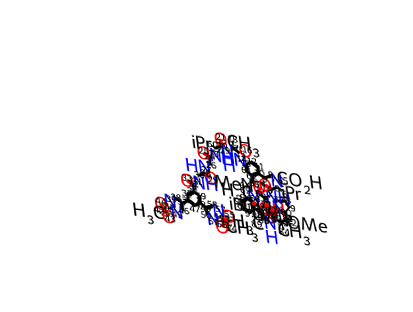 CCC(NC(=O)C(C(C)C)N(CCc1ccc(NC(=O)[C@H](C)NC(=O)[C@@H](NC(=O)CNC(=O)CNC(=O)c2cc(-c3cnc(S(C)(=O)=O)nc3)cc(-c3cnc(S(C)(=O)=O)nc3)c2)C(C)C)cc1CNC)C(=O)O)C(=O)N(C)C([C@@H](C)CC)[C@@H](CC(=O)N1CCC[C@H]1[C@H](OC)[C@@H](C)C(=O)N[C@H](C)[C@@H](O)c1ccccc1)OC